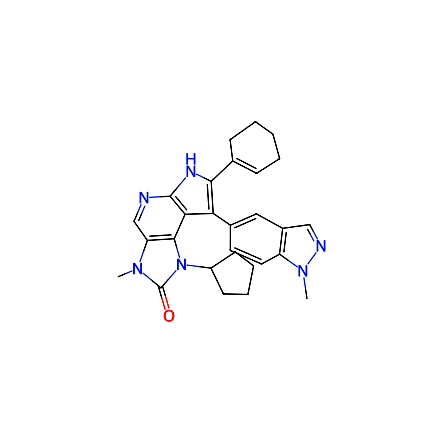 Cn1ncc2cc(-c3c(C4=CCCCC4)[nH]c4ncc5c(c34)n(C3CCCC3)c(=O)n5C)ccc21